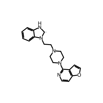 [CH]1Nc2ccccc2N1CCN1CCN(c2nccc3occc23)CC1